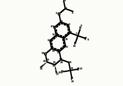 CC(C)Oc1cc(C(F)(F)F)c2cc3c(cc2n1)O[C@@H](C)[C@@H](C)N3CC(F)(F)F